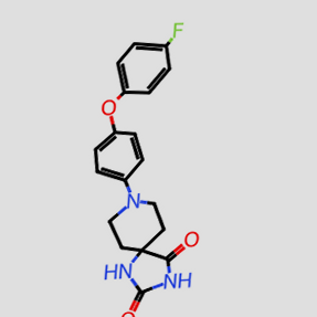 O=C1NC(=O)C2(CCN(c3ccc(Oc4ccc(F)cc4)cc3)CC2)N1